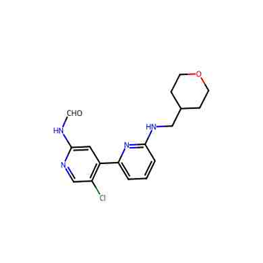 O=CNc1cc(-c2cccc(NCC3CCOCC3)n2)c(Cl)cn1